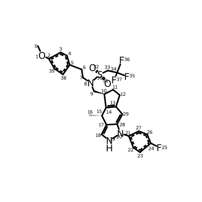 COc1ccc(CCN(C[C@H]2CCC3=C2[C@@H](C)C2=CNN(c4ccc(F)cc4)C2=C3)S(=O)(=O)CC(F)(F)F)cc1